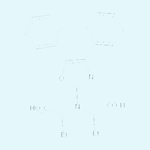 CCC(C(=O)O)N(c1nc(-c2ccccc2)c(-c2ccccc2)o1)C(CC)C(=O)O